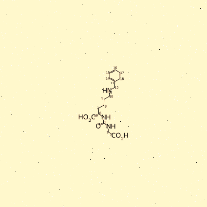 O=C(O)CNC(=O)N[C@@H](CCCCNCc1ccccc1)C(=O)O